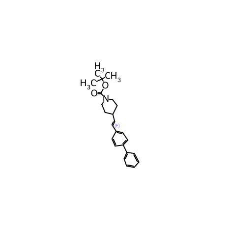 CC(C)(C)OC(=O)N1CCC(/C=C/c2ccc(-c3ccccc3)cc2)CC1